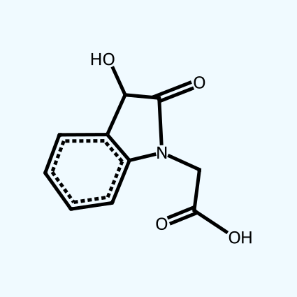 O=C(O)CN1C(=O)C(O)c2ccccc21